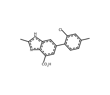 Cc1ccc(-c2cc(C(=O)O)c3nc(C)[nH]c3c2)c(Cl)c1